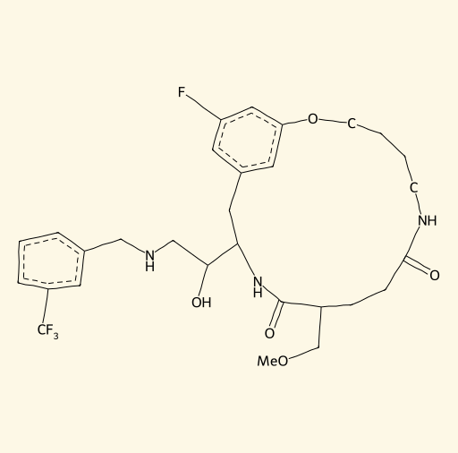 COCC1CCC(=O)NCCCCOc2cc(F)cc(c2)CC(C(O)CNCc2cccc(C(F)(F)F)c2)NC1=O